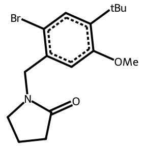 COc1cc(CN2CCCC2=O)c(Br)cc1C(C)(C)C